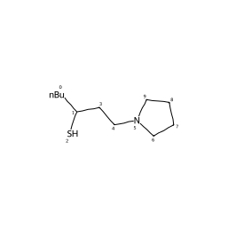 CCCCC(S)CCN1CCCC1